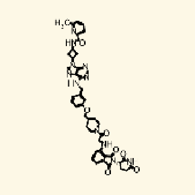 Cc1cccc(C(=O)NC2CC(n3cnc4c(NCc5cccc(OCC6CCN(C(=O)CNc7cccc8c7C(=O)N([C@H]7CCC(=O)NC7=O)C8=O)CC6)c5)ncnc43)C2)n1